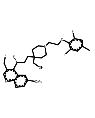 COc1ccc2ncc(CF)c([C@H](F)CCC3(CO)CCN(CCOc4c(F)cc(F)cc4F)CC3)c2c1